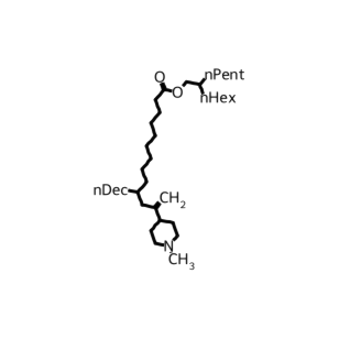 C=C(CC(CCCCCCCCCC)CCCCCCCCC(=O)OCC(CCCCC)CCCCCC)C1CCN(C)CC1